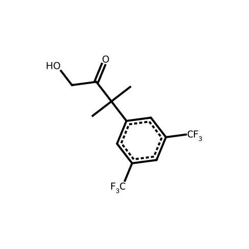 CC(C)(C(=O)CO)c1cc(C(F)(F)F)cc(C(F)(F)F)c1